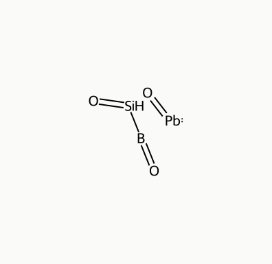 O=B[SiH]=O.[O]=[Pb]